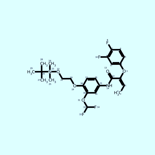 CC=C(Oc1ccc(F)c(F)c1)C(=O)Nc1ccc(OCCO[Si](C)(C)C(C)(C)C)c(OC(F)F)c1